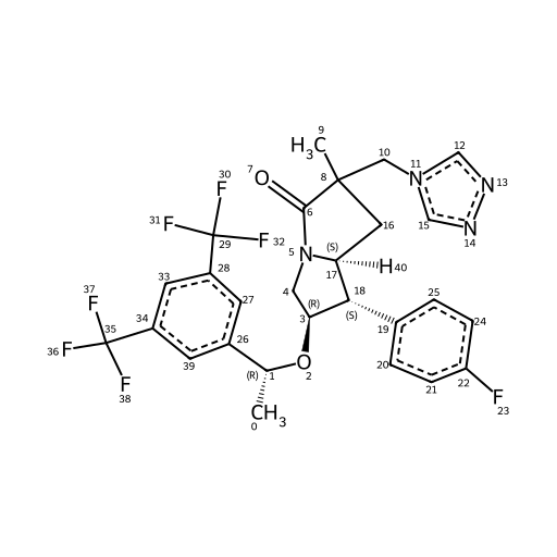 C[C@@H](O[C@H]1CN2C(=O)C(C)(Cn3cnnc3)C[C@H]2[C@@H]1c1ccc(F)cc1)c1cc(C(F)(F)F)cc(C(F)(F)F)c1